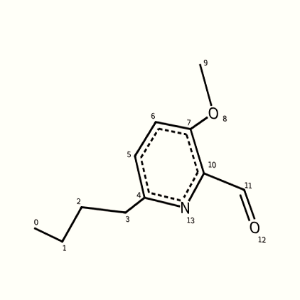 CCCCc1ccc(OC)c(C=O)n1